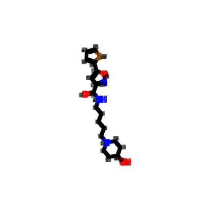 O=C(NCCCCCN1CCC(O)CC1)c1cc(-c2cccs2)on1